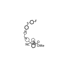 COC(=O)NN1CCCC1C(C#N)(c1ccccc1)C1CCN(CC2CN(c3ccc(Sc4ccc(F)cc4)cc3)C2)CC1